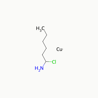 CCCCCC(N)Cl.[Cu]